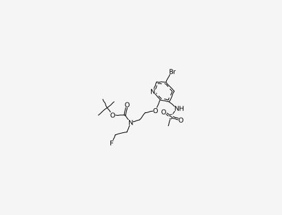 CC(C)(C)OC(=O)N(CCF)CCOc1ncc(Br)cc1NS(C)(=O)=O